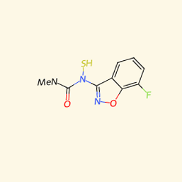 CNC(=O)N(S)c1noc2c(F)cccc12